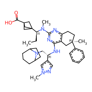 CC[C@H](N(C)c1nc2c(c(N[C@@H](CN3C4CCCC3CC4)c3cnn(C)c3)n1)C[C@](C)(c1ccccc1)CC2)C12CC(C(=O)O)(C1)C2